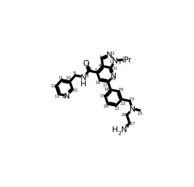 CC(C)n1ncc2c(C(=O)NCc3cccnc3)cc(-c3cccc(CN(C)CCN)c3)nc21